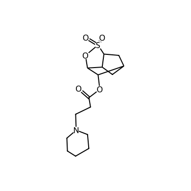 O=C(CCN1CCCCC1)OC1C2CC3C1OS(=O)(=O)C3C2